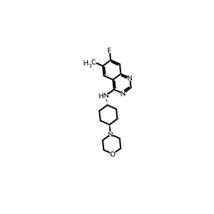 Cc1cc2c(N[C@H]3CC[C@H](N4CCOCC4)CC3)ncnc2cc1F